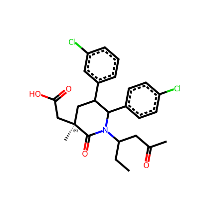 CCC(CC(C)=O)N1C(=O)[C@@](C)(CC(=O)O)CC(c2cccc(Cl)c2)C1c1ccc(Cl)cc1